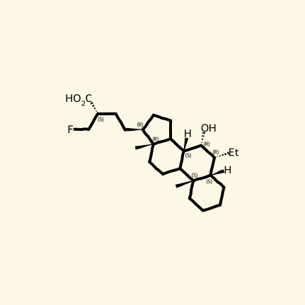 CC[C@H]1[C@@H](O)[C@H]2C3CC[C@H](CC[C@H](CF)C(=O)O)[C@@]3(C)CCC2[C@@]2(C)CCCC[C@@H]12